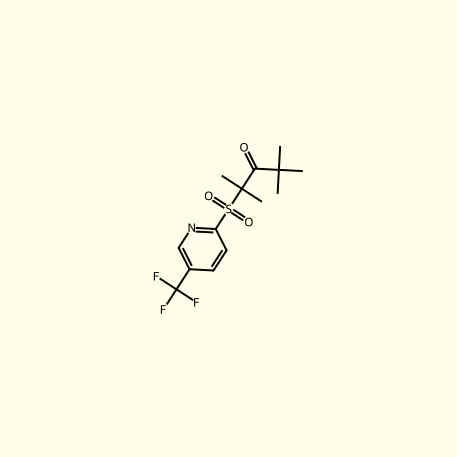 CC(C)(C)C(=O)C(C)(C)S(=O)(=O)c1ccc(C(F)(F)F)cn1